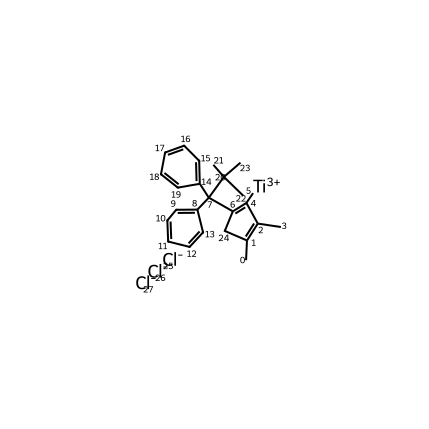 CC1=C(C)[C]([Ti+3])=C(C(c2ccccc2)(c2ccccc2)C(C)(C)C)C1.[Cl-].[Cl-].[Cl-]